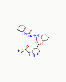 CC(=O)Nc1cc(COc2ccccc2C(=O)NNC(=O)Nc2ccccc2)ccn1